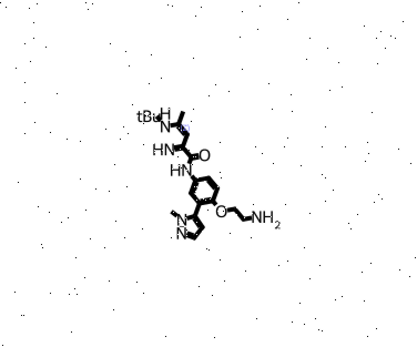 C/C(=C/C(=N)C(=O)Nc1ccc(OCCN)c(-c2ccnn2C)c1)NC(C)(C)C